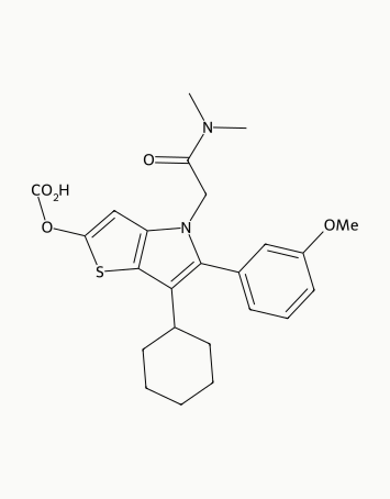 COc1cccc(-c2c(C3CCCCC3)c3sc(OC(=O)O)cc3n2CC(=O)N(C)C)c1